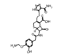 NCOc1ccc(CC(=O)NC2C(=O)N3C(C(=O)O)=C(CSc4[nH]nnc4C(N)=O)CS[C@@H]23)cc1O